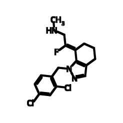 CNC/C(F)=C1\CCCc2cnn(Cc3ccc(Cl)cc3Cl)c21